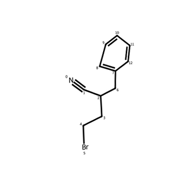 N#CC(CCBr)Cc1ccccc1